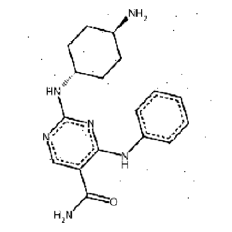 NC(=O)c1cnc(N[C@H]2CC[C@H](N)CC2)nc1Nc1ccccc1